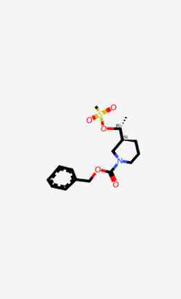 C[C@@H](OS(C)(=O)=O)[C@H]1CCCN(C(=O)OCc2ccccc2)C1